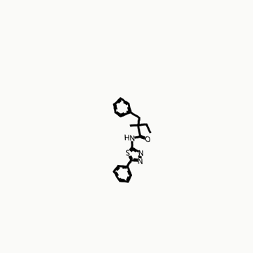 CCC(C)(Cc1ccccc1)C(=O)Nc1nnc(-c2ccccc2)s1